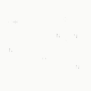 CN(C)SN1C(=O)c2ccc(C=O)cc2C12c1ccc(N(C)C)cc1Oc1cc(N(C)C)ccc12